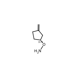 C=C1CC[C@H](ON)C1